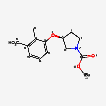 Cc1c(O[C@H]2CCN(C(=O)OC(C)(C)C)C2)cccc1C(=O)O